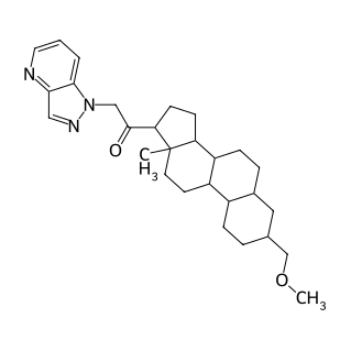 COCC1CCC2C(CCC3C2CCC2(C)C(C(=O)Cn4ncc5ncccc54)CCC32)C1